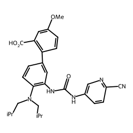 COc1ccc(-c2ccc(N(CC(C)C)CC(C)C)c(NC(=O)Nc3ccc(C#N)nc3)c2)c(C(=O)O)c1